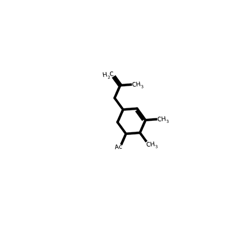 C=C(C)CC1C=C(C)C(C)C(C(C)=O)C1